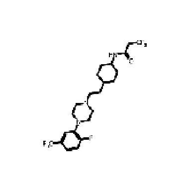 O=C(CC(F)(F)F)NC1CCC(CCN2CCN(c3cc(C(F)(F)F)ccc3F)CC2)CC1